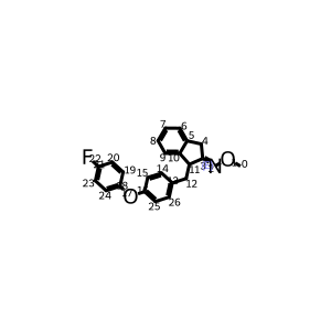 CO/N=C1\Cc2ccccc2C1Cc1ccc(Oc2ccc(F)cc2)cc1